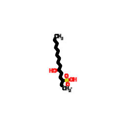 [CH2]CC(CCC(O)CCCCCCCCC)S(=O)(=O)O